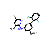 CC(=O)Nc1cc(Nc2ncc(Br)cc2[N+](=O)[O-])cc(-c2c(F)cccc2F)c1